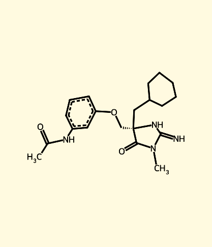 CC(=O)Nc1cccc(OC[C@]2(CC3CCCCC3)NC(=N)N(C)C2=O)c1